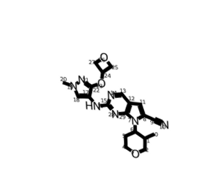 CC1COCCC1n1c(C#N)cc2cnc(Nc3cn(C)nc3OC3COC3)nc21